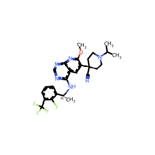 COc1nc2ncnc(N[C@H](C)c3cccc(C(F)(F)F)c3F)c2cc1C1(C#N)CCN(C(C)C)CC1